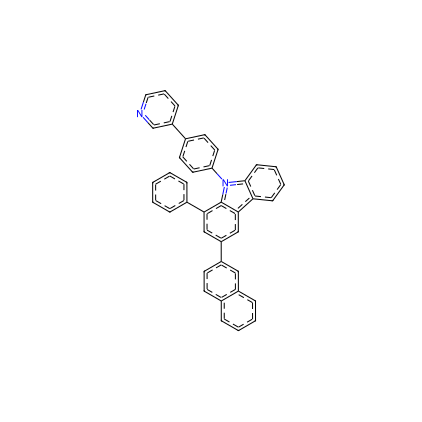 c1ccc(-c2cc(-c3ccc4ccccc4c3)cc3c4ccccc4n(-c4ccc(-c5cccnc5)cc4)c23)cc1